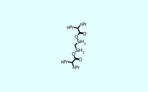 CCCC(CCC)C(=O)O[SiH2]C[SiH2]OC(=O)C(CCC)CCC